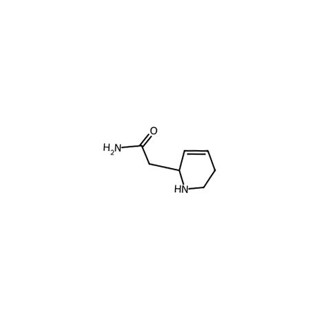 NC(=O)CC1C=CCCN1